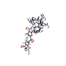 C/C=C\C(=C/CN1C(=O)c2ccc(C(=O)c3ccc4c(c3)C(=O)N(C)C4=O)cc2C1=O)C1(C)CC(C)(C)C(=C/C)/C1=C\C